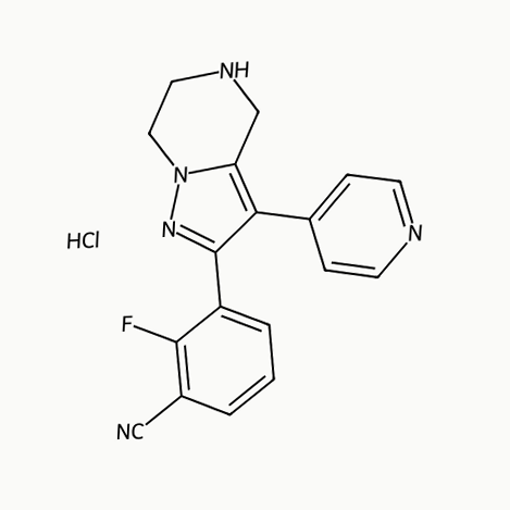 Cl.N#Cc1cccc(-c2nn3c(c2-c2ccncc2)CNCC3)c1F